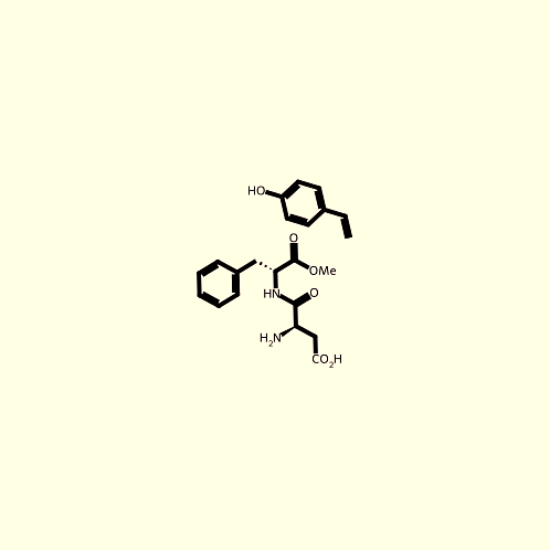 C=Cc1ccc(O)cc1.COC(=O)[C@@H](Cc1ccccc1)NC(=O)[C@H](N)CC(=O)O